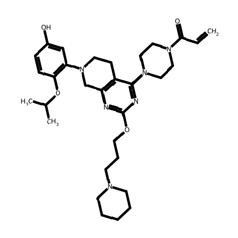 C=CC(=O)N1CCN(c2nc(OCCCN3CCCCC3)nc3c2CCN(c2cc(O)ccc2OC(C)C)C3)CC1